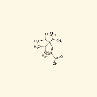 C/C(=C\[Si](C(C)C)(C(C)C)C(C)C)C(=O)O